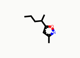 CCCC(C)c1cc(C)no1